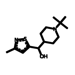 Cc1cc(C(O)C2CCN(C(C)(C)C)CC2)sn1